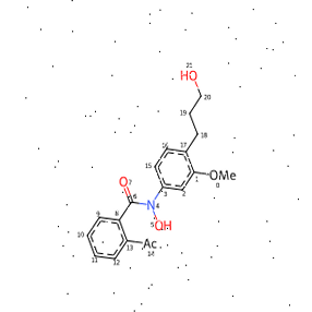 COc1cc(N(O)C(=O)c2ccccc2C(C)=O)ccc1CCCO